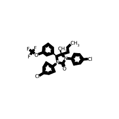 CCC[C@@]1(C)[C@H](c2cccc(OC(F)(F)F)c2)N(c2ccc(Cl)cc2)C(=O)N1c1ccc(Cl)cc1